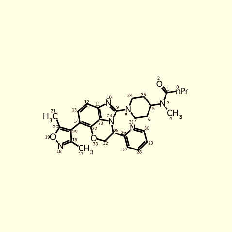 CCCC(=O)N(C)C1CCN(c2nc3ccc(-c4c(C)noc4C)c4c3n2[C@@H](c2ccccn2)CO4)CC1